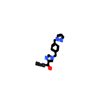 COC(=O)c1cn(Cc2ccc(Cn3cccn3)cc2)cn1